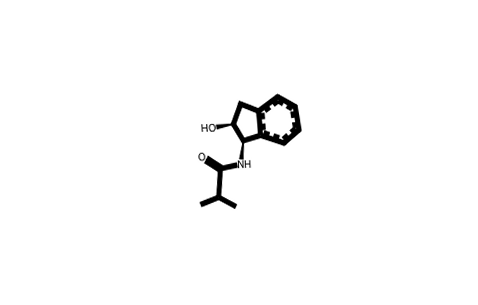 CC(C)C(=O)N[C@@H]1c2ccccc2C[C@@H]1O